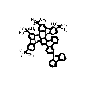 CC(C)(C)c1ccc2c(c1)c1cc(C(C)(C)C)cc3c1n2-c1cc2c4ccc(-n5c6ccccc6c6ccccc65)cc4c4ccccc4c2c2c1B3c1cc(C(C)(C)C)cc3c4cc(C(C)(C)C)ccc4n-2c13